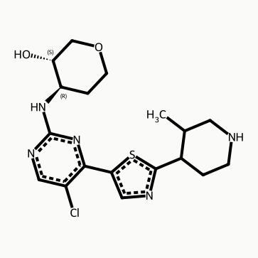 CC1CNCCC1c1ncc(-c2nc(N[C@@H]3CCOC[C@H]3O)ncc2Cl)s1